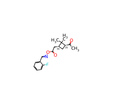 CC(=O)[C@H]1C[C@@H](CC(=O)ON=Cc2ccccc2F)C1(C)C